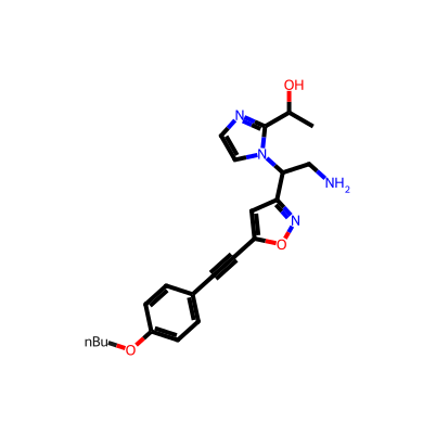 CCCCOc1ccc(C#Cc2cc(C(CN)n3ccnc3C(C)O)no2)cc1